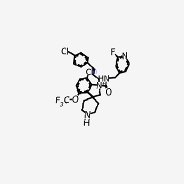 O=C(NCc1ccnc(F)c1)[N+]1(C/C=C/c2ccc(Cl)cc2)CC2(CCNCC2)c2c(OC(F)(F)F)ccc(Cl)c21